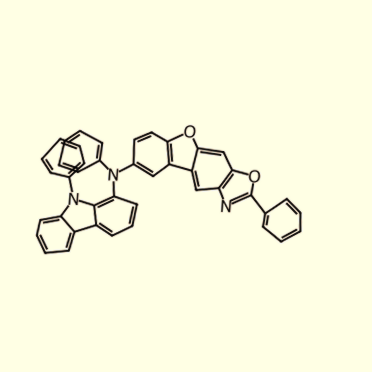 c1ccc(-c2nc3cc4c(cc3o2)oc2ccc(N(c3ccccc3)c3cccc5c6ccccc6n(-c6ccccc6)c35)cc24)cc1